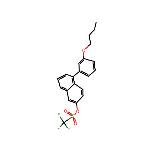 CCCCOc1cccc(-c2cccc3cc(OS(=O)(=O)C(F)(F)F)ccc23)c1